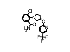 NC(=O)c1cccc(Cl)c1N1CC[C@H](Oc2ccc(C(F)(F)F)cn2)C1